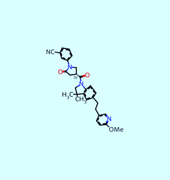 COc1ccc(CCc2ccc3c(c2)C(C)(C)CN3C(=O)[C@H]2CC(=O)N(c3cccc(C#N)c3)C2)cn1